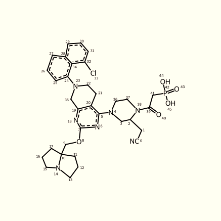 N#CCC1CN(c2nc(OCC34CCCN3CCC4)nc3c2CCN(c2cccc4cccc(Cl)c24)C3)CCN1C(=O)CP(=O)(O)O